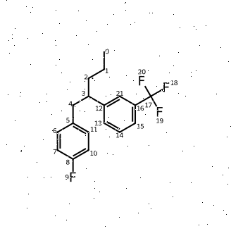 CC[CH]C(Cc1ccc(F)cc1)c1cccc(C(F)(F)F)c1